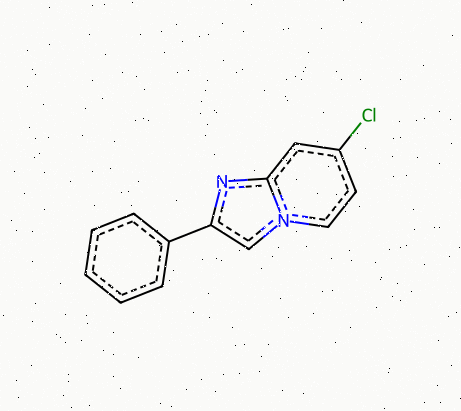 Clc1ccn2cc(-c3ccccc3)nc2c1